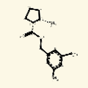 Nc1cc(N)cc(COC(=O)[C@@H]2CCC[C@@H]2N)c1